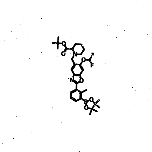 Cc1c(B2OC(C)(C)C(C)(C)O2)cccc1-c1nc2cc(CN3CCCCC3C(=O)OC(C)(C)C)c(OC(F)F)cc2o1